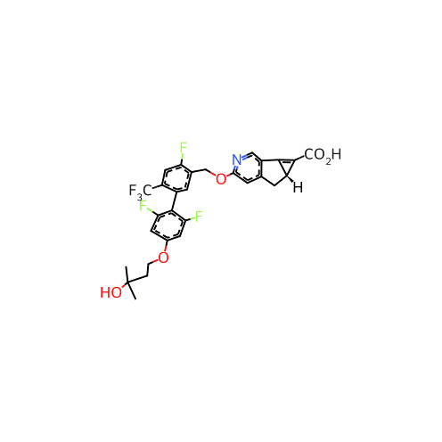 CC(C)(O)CCOc1cc(F)c(-c2cc(COc3cc4c(cn3)C3=C(C(=O)O)[C@@H]3C4)c(F)cc2C(F)(F)F)c(F)c1